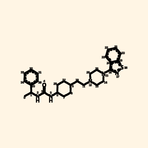 CC(NC(=O)NC1CCC(CCN2CCN(c3nsc4ccccc34)CC2)CC1)c1ccccc1